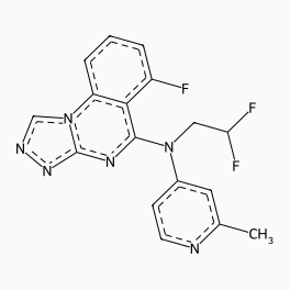 Cc1cc(N(CC(F)F)c2nc3nncn3c3cccc(F)c23)ccn1